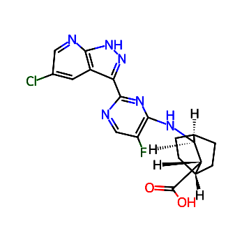 O=C(O)[C@H]1[C@H]2CC[C@@H](CC2)[C@@H]1Nc1nc(-c2n[nH]c3ncc(Cl)cc23)ncc1F